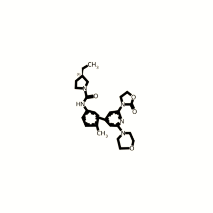 CC[C@@H]1CCN(C(=O)Nc2ccc(C)c(-c3cc(N4CCOCC4)nc(N4CCOC4=O)c3)c2)C1